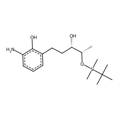 C[C@H](O[Si](C)(C)C(C)(C)C)[C@@H](O)CCc1cccc(N)c1O